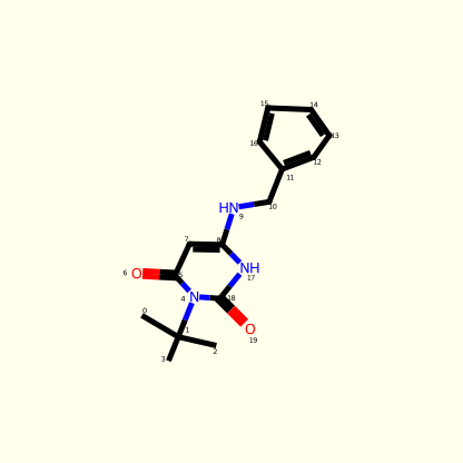 CC(C)(C)n1c(=O)cc(NCc2ccccc2)[nH]c1=O